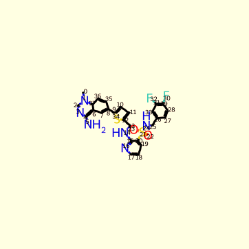 CN1C=NC(N)=C2C=C(c3ccc(CNc4ncccc4S(=O)(=O)NCc4ccc(F)c(F)c4)s3)C=CC21